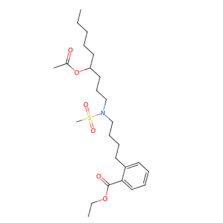 CCCCCC(CCCN(CCCCc1ccccc1C(=O)OCC)S(C)(=O)=O)OC(C)=O